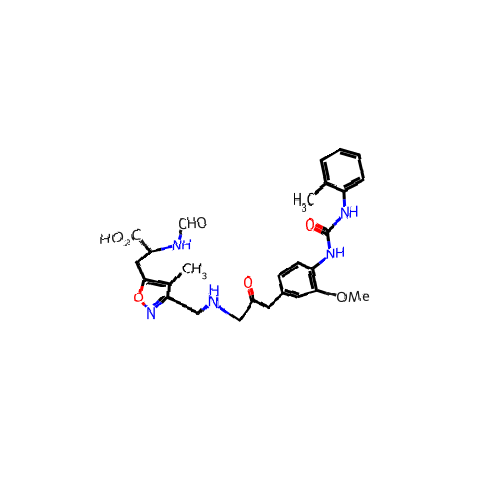 COc1cc(CC(=O)CNCc2noc(CC(NC=O)C(=O)O)c2C)ccc1NC(=O)Nc1ccccc1C